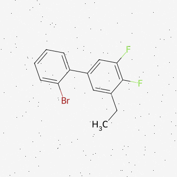 CCc1cc(-c2ccccc2Br)cc(F)c1F